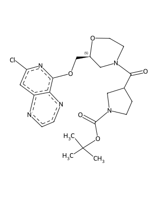 CC(C)(C)OC(=O)N1CCC(C(=O)N2CCO[C@H](COc3nc(Cl)cc4nccnc34)C2)C1